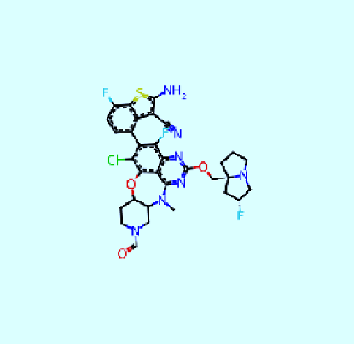 CN1c2nc(OC[C@@]34CCCN3C[C@H](F)C4)nc3c(F)c(-c4ccc(F)c5sc(N)c(C#N)c45)c(Cl)c(c23)OC2CCN(C=O)CC21